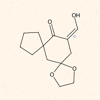 O=C1/C(=C\O)CC2(CC13CCCC3)OCCO2